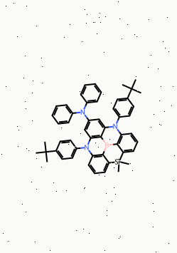 CC(C)(C)c1ccc(N2c3cc(N(c4ccccc4)c4ccccc4)cc4c3B3c5c2cccc5[Si](C)(C)c2cccc(c23)N4c2ccc(C(C)(C)C)cc2)cc1